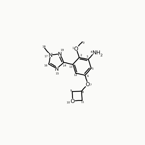 COc1c(N)cc(OC2COC2)cc1-c1ncn(C)n1